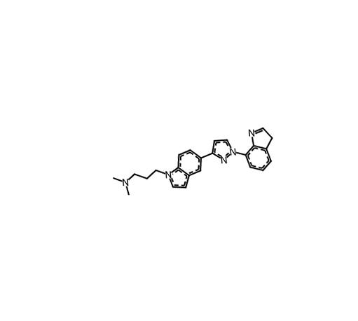 CN(C)CCCn1ccc2cc(-c3ccn(-c4cccc5c4N=CC5)n3)ccc21